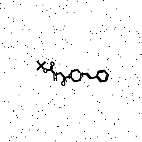 CC(C)(C)OC(=O)NCC(=O)N1CCN(C=Cc2ccccc2)CC1